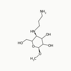 CO[C@H]1OC(CO)[C@@H](NCCCN)C(O)C1O